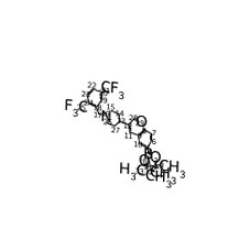 CC1(C)OB(c2ccc3c(c2)C=C(C2CCN(Cc4cc(C(F)(F)F)ccc4C(F)(F)F)CC2)CO3)OC1(C)C